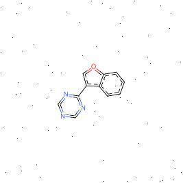 c1ccc2c(-c3ncncn3)coc2c1